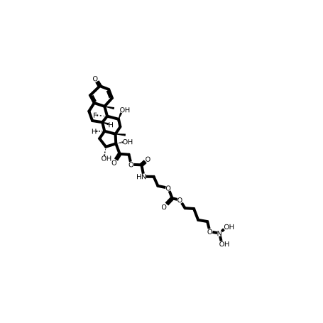 C[C@]12C=CC(=O)C=C1CC[C@H]1[C@@H]3C[C@@H](O)[C@](O)(C(=O)COC(=O)NCCOC(=O)OCCCCON(O)O)[C@@]3(C)C[C@H](O)[C@@]12F